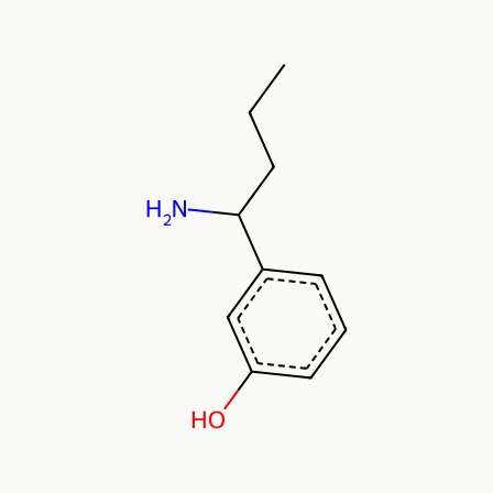 CCCC(N)c1cccc(O)c1